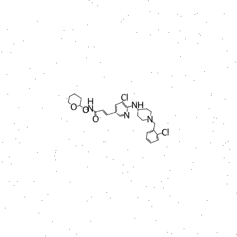 O=C(C=Cc1cnc(NC2CCN(Cc3ccccc3Cl)CC2)c(Cl)c1)NOC1CCCCO1